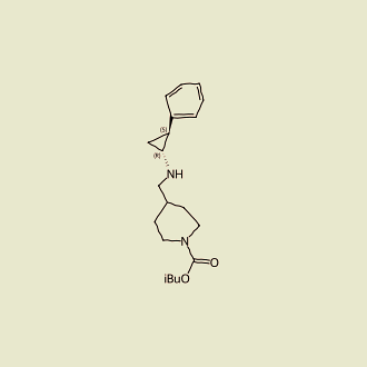 CC(C)COC(=O)N1CCC(CN[C@@H]2C[C@H]2c2ccccc2)CC1